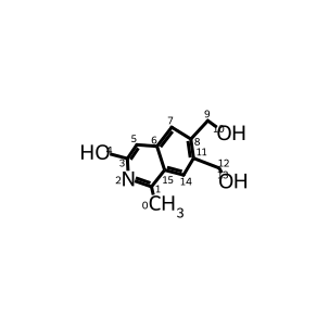 Cc1nc(O)cc2cc(CO)c(CO)cc12